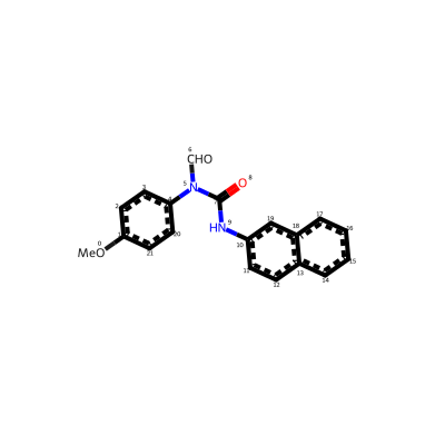 COc1ccc(N(C=O)C(=O)Nc2ccc3ccccc3c2)cc1